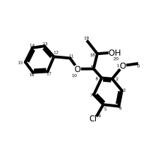 COc1ccc(Cl)cc1C(OCc1ccccc1)C(C)O